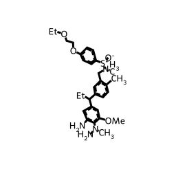 CCOCCOc1ccc([S+]([O-])N(C)Cc2cc(C(CC)c3cc(N)c(N(C)N)c(OC)c3)ccc2C)cc1